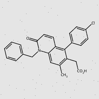 Cc1cc2c(ccc(=O)n2Cc2ccccc2)c(-c2ccc(Cl)cc2)c1CC(=O)O